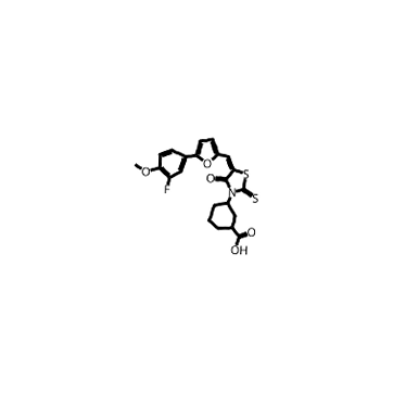 COc1ccc(-c2ccc(C=C3SC(=S)N(C4CCCC(C(=O)O)C4)C3=O)o2)cc1F